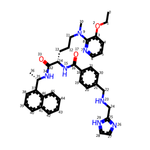 CCOc1cccnc1N(C)CCC[C@H](NC(=O)c1ccc(CNCc2ncc[nH]2)cc1)C(=O)N[C@@H](C)c1cccc2ccccc12